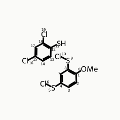 COc1ccc(SCl)cc1SCl.Sc1ccc(Cl)cc1Cl